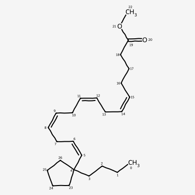 CCCCC1(/C=C\C/C=C\C/C=C\C/C=C\CCCC(=O)OC)CCCC1